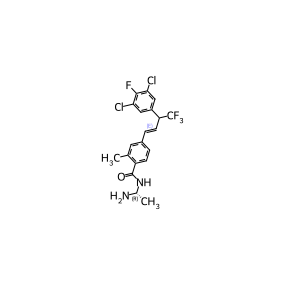 Cc1cc(/C=C/C(c2cc(Cl)c(F)c(Cl)c2)C(F)(F)F)ccc1C(=O)N[C@H](C)N